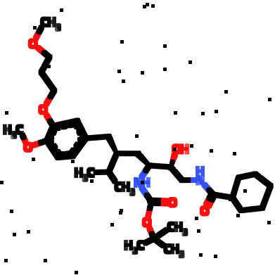 COCCCOc1cc(C[C@@H](C[C@H](NC(=O)OC(C)(C)C)[C@@H](O)CNC(=O)C2CCCCC2)C(C)C)ccc1OC